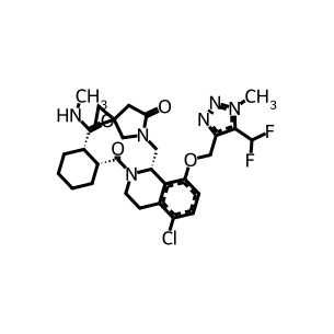 CNC(=O)[C@H]1CCCC[C@H]1C(=O)N1CCc2c(Cl)ccc(OCc3nnn(C)c3C(F)F)c2[C@H]1CN1CC2(CC2)CC1=O